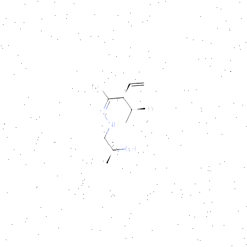 C=C[C@H](/C(C#N)=N\NC[C@H](C)N)[C@H](C)C(C)C